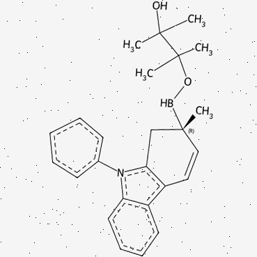 CC(C)(O)C(C)(C)OB[C@]1(C)C=Cc2c(n(-c3ccccc3)c3ccccc23)C1